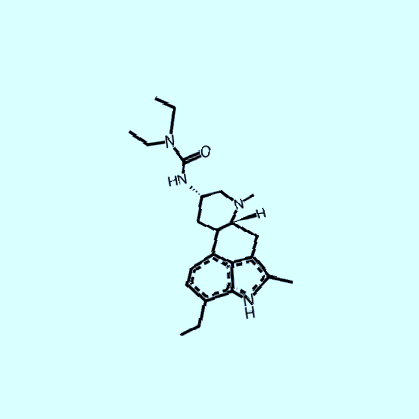 CCc1ccc2c3c(c(C)[nH]c13)C[C@@H]1C2C[C@H](NC(=O)N(CC)CC)CN1C